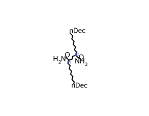 CCCCCCCCCCCCCCCCC/C=C(\CC/C(=C\CCCCCCCCCCCCCCCCC)C(N)=O)C(N)=O